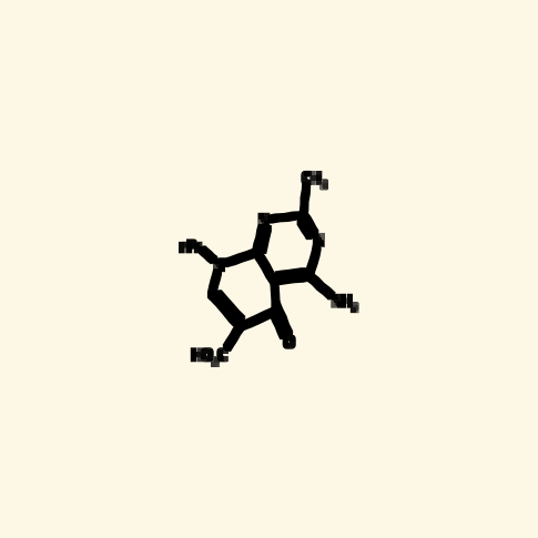 CCCn1cc(C(=O)O)c(=O)c2c(N)nc(C)nc21